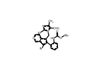 CCc1nc(C)c(C=O)n1Cc1c2ccocc-2c(Br)c1-c1ccccc1NC(=O)OC(C)(C)C